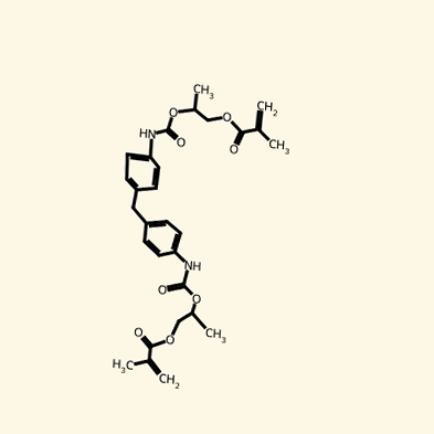 C=C(C)C(=O)OCC(C)OC(=O)Nc1ccc(Cc2ccc(NC(=O)OC(C)COC(=O)C(=C)C)cc2)cc1